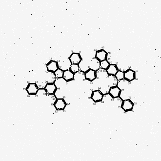 C1=CC2C(CC1)C1=C(C=CC3C1c1ccccc1N3c1cc(-c3ccccc3)nc(-c3ccccc3)c1)N2c1cccc(-n2c3ccccc3c3cc4c5ccccc5n(-c5cc(-c6ccccc6)cc(-c6ccccc6)c5)c4cc32)c1